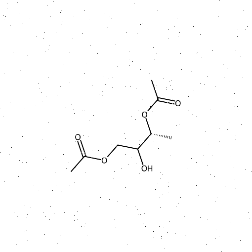 CC(=O)OCC(O)[C@@H](C)OC(C)=O